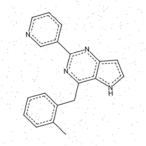 Cc1ccccc1Cc1nc(-c2cccnc2)nc2cc[nH]c12